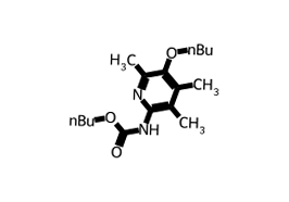 CCCCOC(=O)Nc1nc(C)c(OCCCC)c(C)c1C